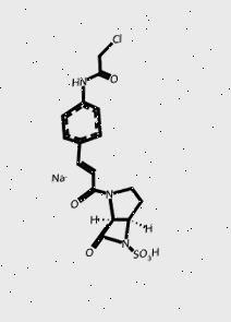 O=C(CCl)Nc1ccc(C=CC(=O)N2CC[C@@H]3[C@H]2C(=O)N3S(=O)(=O)O)cc1.[Na]